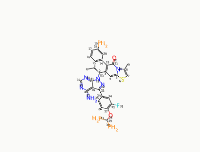 CC[C@@H](c1cc2scc(C)n2c(=O)c1-c1cccc(P)c1)n1nc(-c2ccc(OC(P)P)c(F)c2)c2c(N)ncnc21